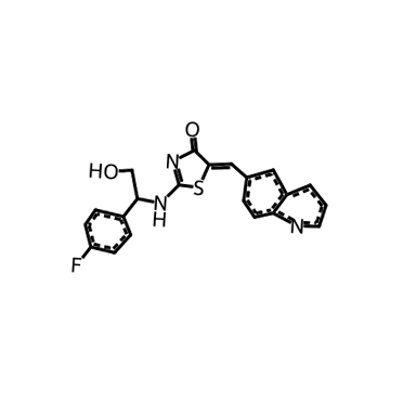 O=C1N=C(NC(CO)c2ccc(F)cc2)S/C1=C\c1ccc2ncccc2c1